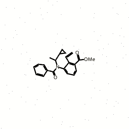 C=Cc1c(C(=O)OC)cccc1N(C(=O)c1ccccc1)C(C)C1CC1